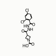 O=C(NNC(=O)C1CN(C(=O)O)C1)c1ccc(Cl)cc1Cl